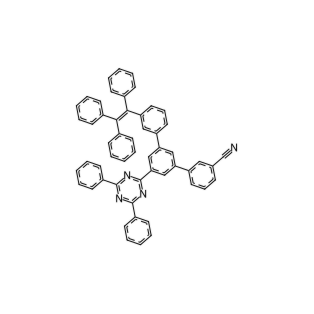 N#Cc1cccc(-c2cc(-c3cccc(C(=C(c4ccccc4)c4ccccc4)c4ccccc4)c3)cc(-c3nc(-c4ccccc4)nc(-c4ccccc4)n3)c2)c1